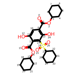 O=C(OC1CCCCC1)c1cc(O)c(C(=O)OC2CCCCC2)c(S(=O)(=O)C2CCCCC2)c1O